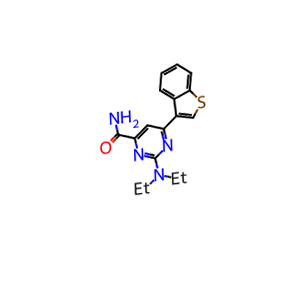 CCN(CC)c1nc(C(N)=O)cc(-c2csc3ccccc23)n1